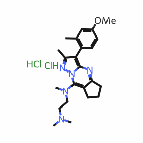 COc1ccc(-c2c(C)nn3c(N(C)CCN(C)C)c4c(nc23)CCC4)c(C)c1.Cl.Cl